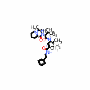 C/C(=C\[C@H](C(C)C)N(C)C(=O)[C@@H](NC(=O)[C@H]1CCCCN1C(C)C)C(C)C)C(=O)NCCc1ccccc1